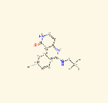 C[Si](C)(C)CNc1nc2cc[nH]c(=O)c2c2cc(F)ccc12